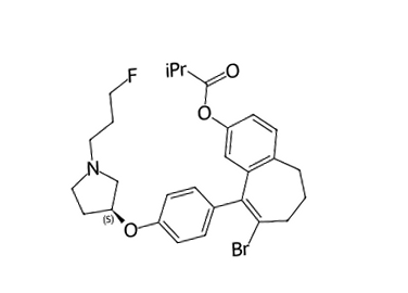 CC(C)C(=O)Oc1ccc2c(c1)C(c1ccc(O[C@H]3CCN(CCCF)C3)cc1)=C(Br)CCC2